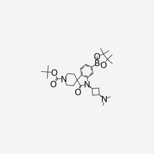 CN(C)[C@H]1C[C@@H](N2C(=O)C3(CCN(C(=O)OC(C)(C)C)CC3)c3ccc(B4OC(C)(C)C(C)(C)O4)cc32)C1